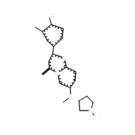 COc1ccc(-c2cc(=O)n3cc(N(C)[C@@H]4CCN(C)C4)ccc3n2)cc1F